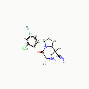 C[C@@H](N)C(=O)N1C(C(C)(C)C#N)CC[C@H]1c1cc(F)cc(Cl)c1